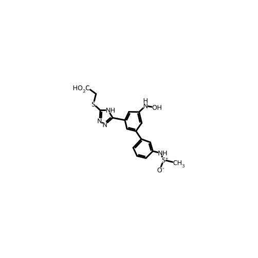 C[S+]([O-])Nc1cccc(-c2cc(NO)cc(-c3nnc(SCC(=O)O)[nH]3)c2)c1